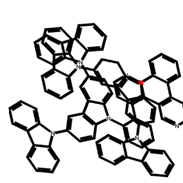 c1ncc(-c2cnccc2-c2ccccc2-n2c3ccc(-n4c5ccccc5c5ccccc54)cc3c3cc(-n4c5ccccc5c5ccccc54)ccc32)c(-c2ccccc2-n2c3c(c4cc(-n5c6ccccc6c6ccccc65)ccc42)C=C(n2c4ccccc4c4ccccc42)CC3)c#1